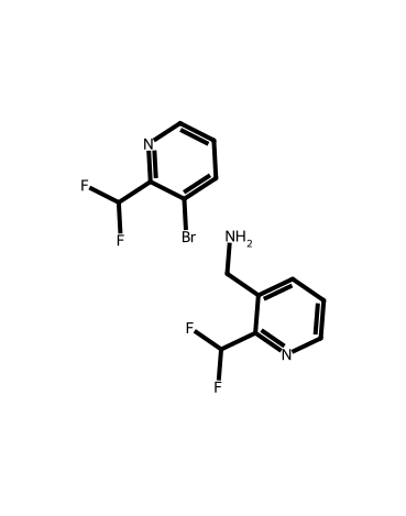 FC(F)c1ncccc1Br.NCc1cccnc1C(F)F